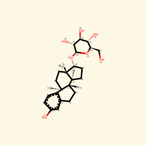 C[C@]12CC[C@@H]3c4ccc(O)cc4CC[C@H]3[C@@H]1CC[C@H]2O[C@@H]1O[C@H](CO)[C@@H](O)[C@H](O)[C@H]1O